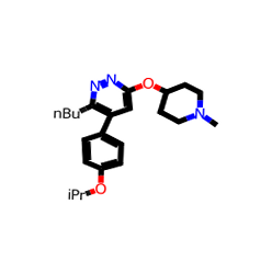 CCCCc1nnc(OC2CCN(C)CC2)cc1-c1ccc(OC(C)C)cc1